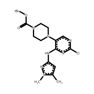 Cc1cc(Nc2nc(Cl)ncc2N2CCN(C(=O)OC(C)(C)C)CC2)nn1C